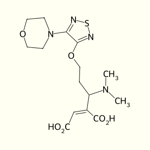 CN(C)C(CCOc1nsnc1N1CCOCC1)C(=CC(=O)O)C(=O)O